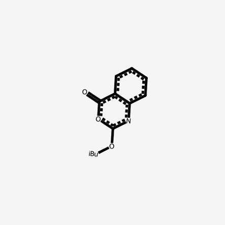 CCC(C)Oc1nc2ccccc2c(=O)o1